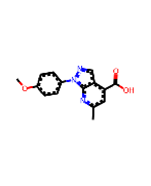 COc1ccc(-n2ncc3c(C(=O)O)cc(C)nc32)cc1